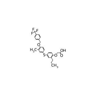 CCCc1cc(Sc2ccc(OCc3ccc(C(F)(F)F)cc3)c(C)c2)ccc1OCC(=O)O